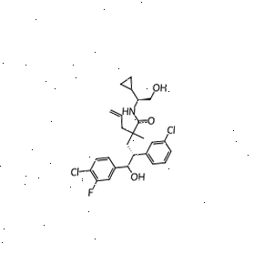 C=CCC(C)(C[C@H](c1cccc(Cl)c1)C(O)c1ccc(Cl)c(F)c1)C(=O)N[C@H](CO)C1CC1